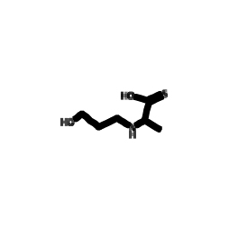 CC(NCCCO)C(O)=S